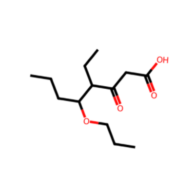 CCCOC(CCC)C(CC)C(=O)CC(=O)O